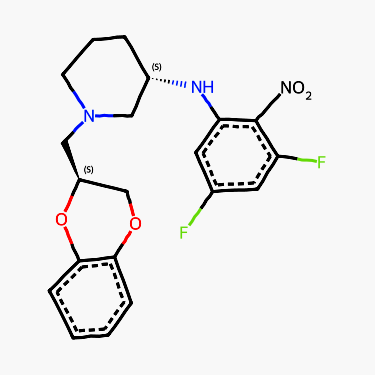 O=[N+]([O-])c1c(F)cc(F)cc1N[C@H]1CCCN(C[C@H]2COc3ccccc3O2)C1